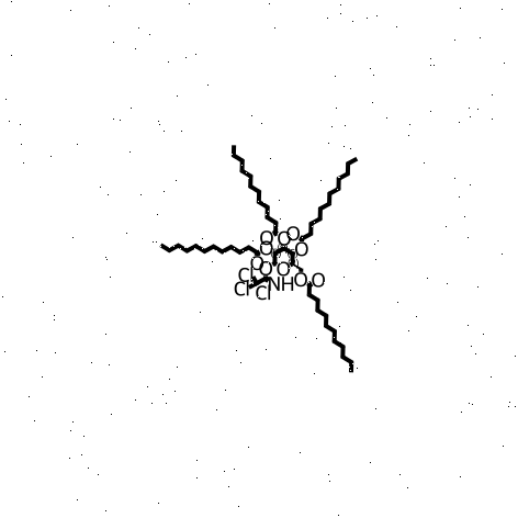 CCCCCCCCCCCC(=O)OC[C@H]1OC(OC(=N)C(Cl)(Cl)Cl)[C@H](OC(=O)CCCCCCCCCCC)[C@@H](OC(=O)CCCCCCCCCCC)[C@H]1OC(=O)CCCCCCCCCCC